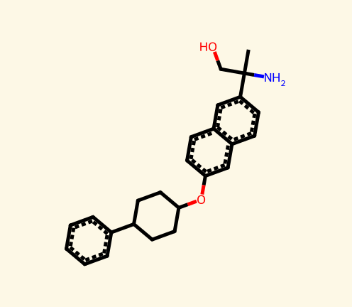 CC(N)(CO)c1ccc2cc(OC3CCC(c4ccccc4)CC3)ccc2c1